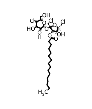 CCCCCCCCCCCCCCCC(=O)O[C@H]1[C@H](O)[C@@H](CCl)O[C@@]1(CCl)O[C@H]1O[C@H](CO)[C@H](Cl)[C@H](O)[C@H]1O